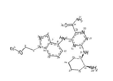 CCOCCn1ncc2c(Nc3nc(N[C@@H]4CCCC[C@@H]4N)nnc3C(N)=O)cccc21